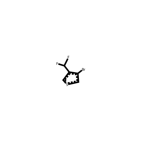 FC(F)c1cscc1Br